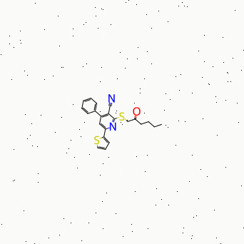 CCCCC(=O)CSc1nc(-c2cccs2)cc(-c2ccccc2)c1C#N